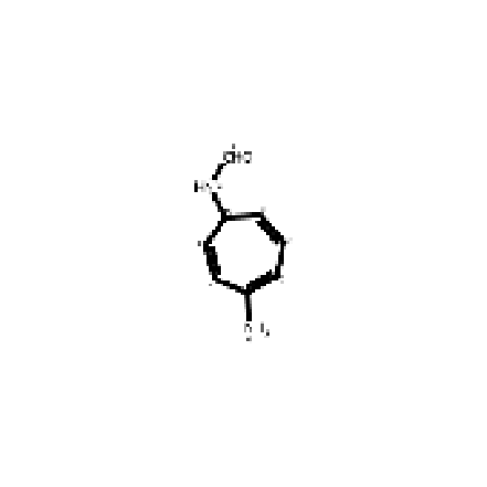 NC1=CC=CC(NC=O)C=C1